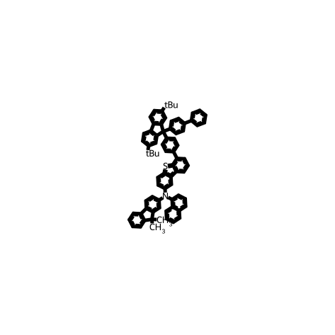 CC(C)(C)c1ccc2c(c1)C(c1ccc(-c3ccccc3)cc1)(c1ccc(-c3cccc4c3sc3ccc(N(c5ccc6c(c5)C(C)(C)c5ccccc5-6)c5cccc6ccccc56)cc34)cc1)c1cc(C(C)(C)C)ccc1-2